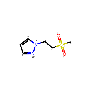 CS(=O)(=O)CCn1cccn1